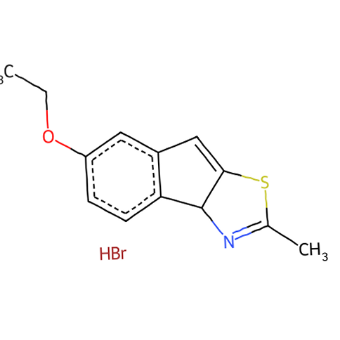 Br.CC1=NC2C(=Cc3cc(OCC(F)(F)F)ccc32)S1